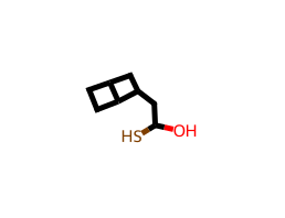 OC(S)CC1CC2CCC21